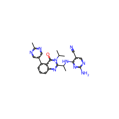 Cc1ncc(-c2cccc3nc(C(C)Nc4nc(N)ncc4C#N)n(C(C)C)c(=O)c23)cn1